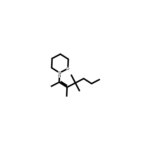 CCCC(C)(C)C(C)=C(C)[SiH]1CCCCO1